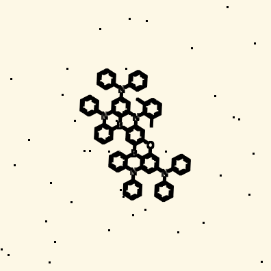 Cc1cccc(C)c1N1c2cc3c(cc2B2c4ccccc4N(c4ccccc4)c4cc(N(c5ccccc5)c5ccccc5)cc1c42)B1c2ccccc2N(c2ccccc2)c2cc(N(c4ccccc4)c4ccccc4)cc(c21)O3